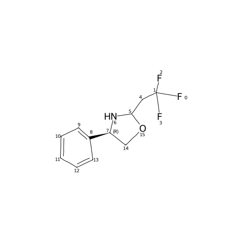 FC(F)(F)CC1N[C@H](c2ccccc2)CO1